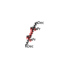 CCCCCCCCCCCCCCCC(OCCC)=C(COCOCOCC(OCCC)=C(CCCCCCCCCCCCCCC)OCCC)OCCC